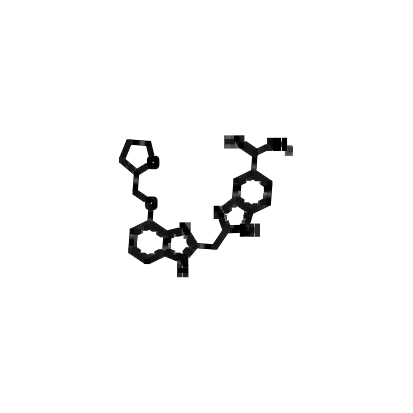 N=C(N)c1ccc2[nH]c(Cc3nc4c(OCC5CCCO5)cccc4[nH]3)nc2c1